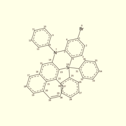 Brc1ccc2c(c1)N(c1ccccc1)c1cc3cccc4c3c(c1[Si]2(c1ccccc1)c1ccccc1)CC=C4